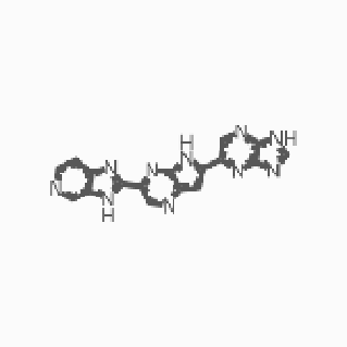 c1cc2nc(-c3cnc4cc(-c5cnc6[nH]cnc6n5)[nH]c4n3)[nH]c2cn1